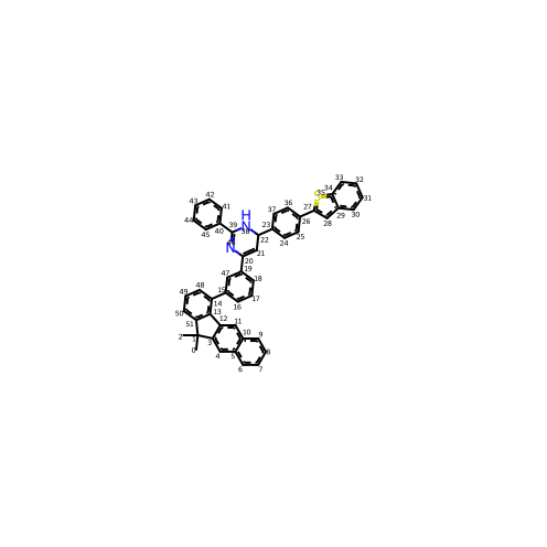 CC1(C)c2cc3ccccc3cc2-c2c(-c3cccc(C4=CC(c5ccc(-c6cc7ccccc7s6)cc5)NC(c5ccccc5)=N4)c3)cccc21